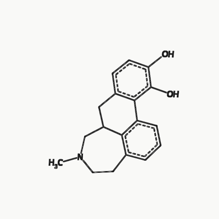 CN1CCc2cccc3c2C(Cc2ccc(O)c(O)c2-3)C1